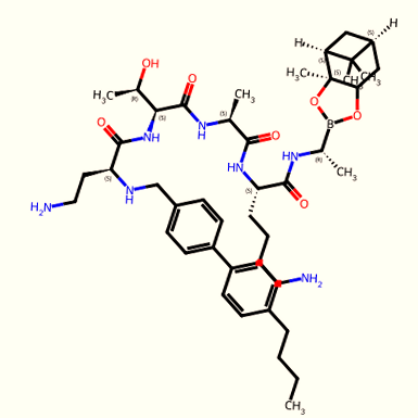 CCCCc1ccc(-c2ccc(CN[C@@H](CCN)C(=O)N[C@H](C(=O)N[C@@H](C)C(=O)N[C@@H](CCCCN)C(=O)N[C@@H](C)B3OC4C[C@@H]5C[C@@H](C5(C)C)[C@]4(C)O3)[C@@H](C)O)cc2)cc1